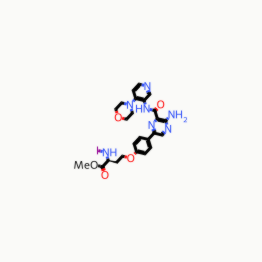 COC(=O)[C@H](CCOc1ccc(-c2cnc(N)c(C(=O)Nc3cnccc3N3CCOCC3)n2)cc1)NI